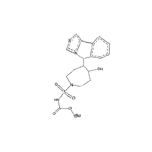 CC(C)(C)OC(=O)NS(=O)(=O)N1CCC(O)C(C2c3ccccc3-c3cncn32)CC1